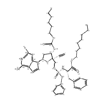 C#C[C@]1(CO[P@@](=O)(N[C@@H](Cc2ccccc2)C(=O)OCCCCCCCC)Oc2ccccc2)O[C@@H](n2cnc3c(N)nc(F)nc32)C[C@@H]1OC(=O)OCCCCCC